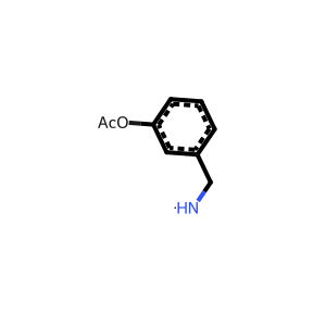 CC(=O)Oc1cccc(C[NH])c1